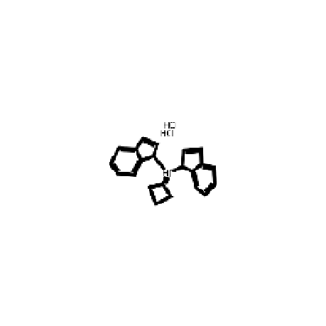 C1=C[CH]([Hf](=[C]2CCC2)[CH]2C=Cc3ccccc32)c2ccccc21.Cl.Cl